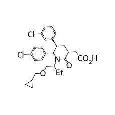 CCC(COCC1CC1)N1C(=O)C(CC(=O)O)C[C@H](c2cccc(Cl)c2)[C@H]1c1ccc(Cl)cc1